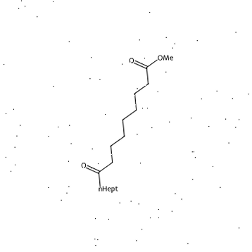 CCCCCCCC(=O)CCCCCCCC(=O)OC